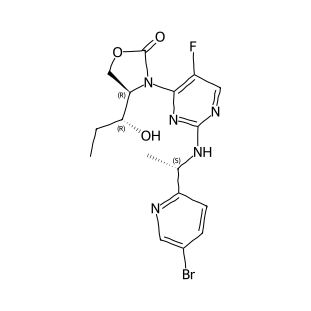 CC[C@@H](O)[C@H]1COC(=O)N1c1nc(N[C@@H](C)c2ccc(Br)cn2)ncc1F